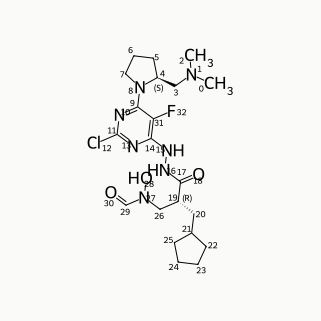 CN(C)C[C@@H]1CCCN1c1nc(Cl)nc(NNC(=O)[C@H](CC2CCCC2)CN(O)C=O)c1F